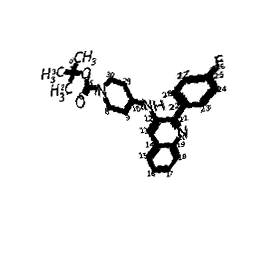 CC(C)(C)OC(=O)N1CCC(Nc2cc3ccccc3nc2-c2ccc(F)cc2)CC1